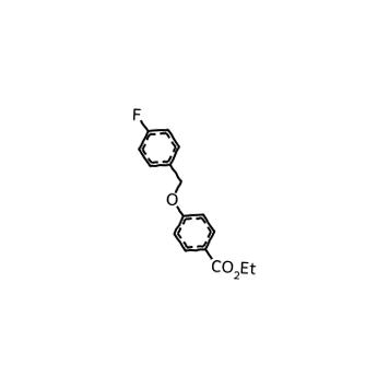 CCOC(=O)c1ccc(OCc2ccc(F)cc2)cc1